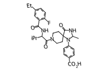 CCc1ccc(F)c(C(=O)NC(C(=O)N2CCC3(CC2)C(=O)NC(C)N3c2ccc(C(=O)O)cc2)C(C)C)c1